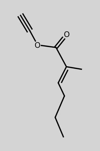 C#COC(=O)C(C)=CCCC